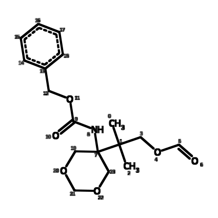 CC(C)(COC=O)C1(NC(=O)OCc2ccccc2)COCOC1